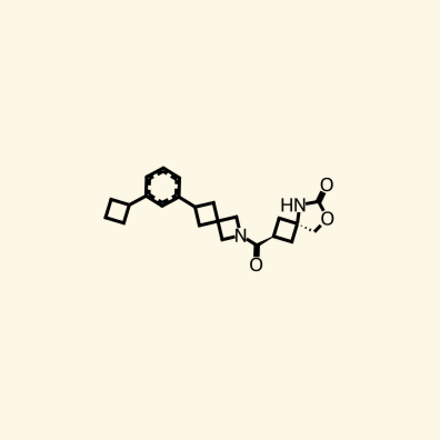 O=C1N[C@]2(CO1)C[C@H](C(=O)N1CC3(CC(c4cccc(C5CCC5)c4)C3)C1)C2